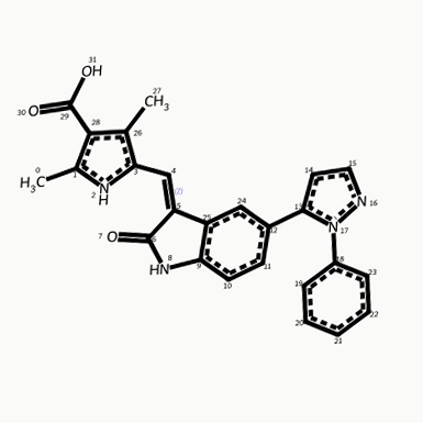 Cc1[nH]c(/C=C2\C(=O)Nc3ccc(-c4ccnn4-c4ccccc4)cc32)c(C)c1C(=O)O